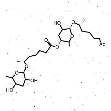 CC(=O)CCCC[C@@H](C)O[C@@H]1OC(C)[C@H](OC(=O)CCCC[C@@H](C)O[C@@H]2OC(C)[C@H](O)CC2O)CC1O